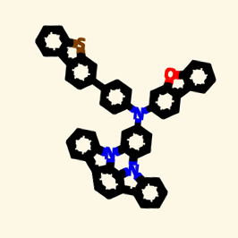 c1ccc2c(c1)oc1cc(N(c3ccc(-c4ccc5c(c4)sc4ccccc45)cc3)c3ccc4c(c3)n3c5ccccc5c5ccc6c7ccccc7n4c6c53)ccc12